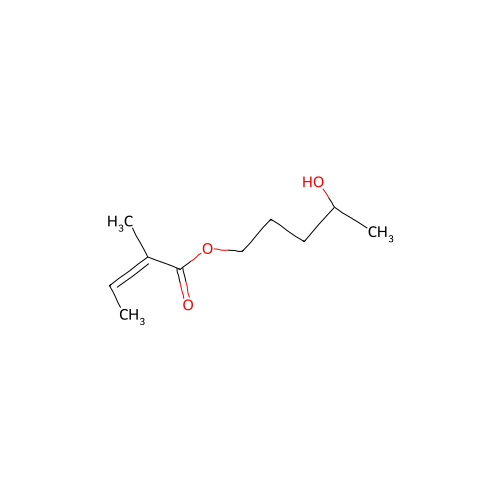 CC=C(C)C(=O)OCCCC(C)O